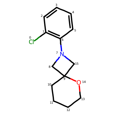 Clc1[c]cccc1N1CC2(CCCCO2)C1